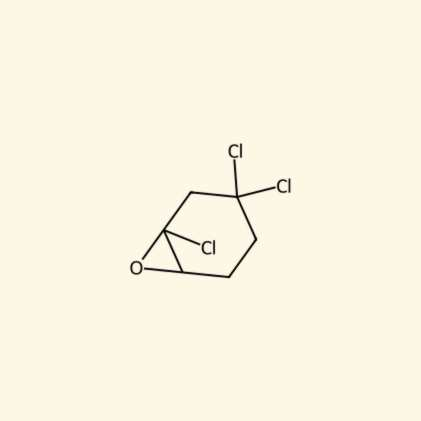 ClC1(Cl)CCC2OC2(Cl)C1